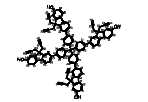 C#CCC1(CC#C)c2cc(O)ccc2-c2ccc(-c3ccc(C(c4ccc(-c5ccc6c(c5)C(CC#C)(CC#C)c5cc(O)ccc5-6)cc4)(c4ccc(-c5ccc6c(c5)C(CC#C)(CC#C)c5cc(O)ccc5-6)cc4)c4ccc(-c5ccc6c(c5)C(CC#C)(CC#C)c5cc(O)ccc5-6)cc4)cc3)cc21